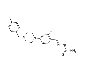 NC(=S)NN=Cc1ccc(N2CCN(Cc3ccc(F)cc3)CC2)cc1Cl